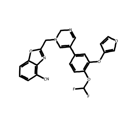 N#Cc1cccc2oc(CN3C=C(c4ccc(OC(F)F)c(Oc5ccoc5)c4)C=NC3)nc12